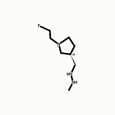 CNNC[C@H]1CCN(CCF)C1